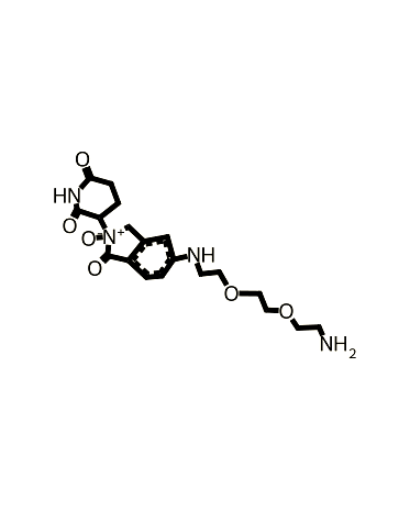 NCCOCCOCCNc1ccc2c(c1)C[N+]([O-])(C1CCC(=O)NC1=O)C2=O